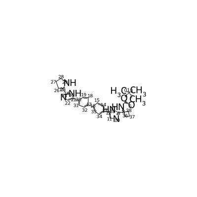 CC(C)(C)OC(=O)NC1(c2ncc(-c3ccc(-c4ccc(-c5cnc([C@@H]6CCCN6)[nH]5)cc4)cc3)[nH]2)CCC1